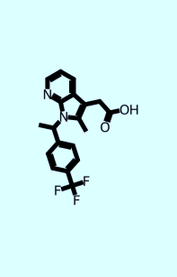 Cc1c(CC(=O)O)c2cccnc2n1C(C)c1ccc(C(F)(F)F)cc1